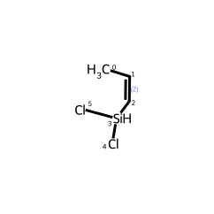 C/C=C\[SiH](Cl)Cl